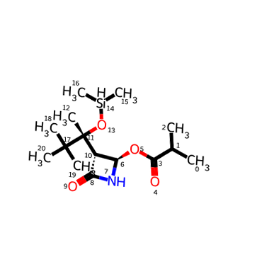 CC(C)C(=O)O[C@H]1NC(=O)[C@@H]1[C@@](C)(O[SiH](C)C)C(C)(C)C